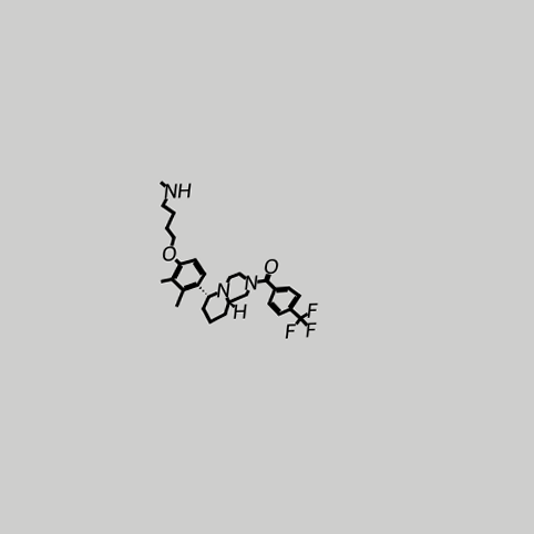 CNCCCCOc1ccc([C@H]2CCC[C@H]3CN(C(=O)c4ccc(C(F)(F)F)cc4)CCN32)c(C)c1C